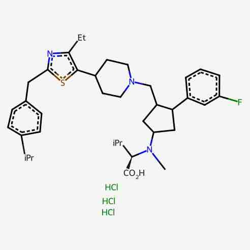 CCc1nc(Cc2ccc(C(C)C)cc2)sc1C1CCN(CC2CC(N(C)[C@@H](C(=O)O)C(C)C)CC2c2cccc(F)c2)CC1.Cl.Cl.Cl